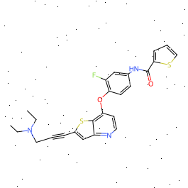 CCN(CC)CC#Cc1cc2nccc(Oc3ccc(NC(=O)c4cccs4)cc3F)c2s1